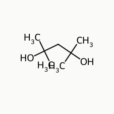 CC(C)(O)CC(C)(C)O